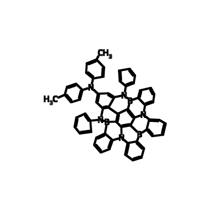 Cc1ccc(N(c2ccc(C)cc2)c2cc3c4c(c2)N(c2ccccc2)B2c5ccccc5N5c6ccccc6B6c7ccccc7N7c8ccccc8B(c8c-4c2c5c6c87)N3c2ccccc2)cc1